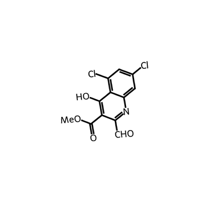 COC(=O)c1c(C=O)nc2cc(Cl)cc(Cl)c2c1O